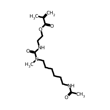 C=C(C)C(=O)OCCNC(=O)N(C)CCCCCCNC(C)=O